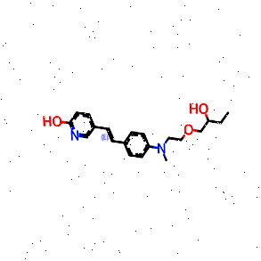 CCC(O)COCCN(C)c1ccc(/C=C/c2ccc(O)nc2)cc1